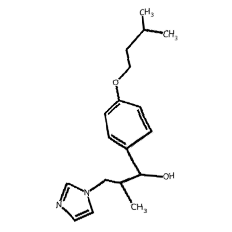 CC(C)CCOc1ccc(C(O)C(C)Cn2ccnc2)cc1